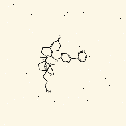 C[C@]12C[C@H](c3ccc(-c4cccnc4)cc3)C3=C4CCC(=O)C=C4CC[C@H]3[C@H]1CC[C@]2(O)CCCO